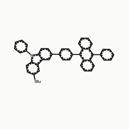 CC(C)(C)c1ccc2c(c1)c1cc(-c3ccc(-c4c5ccccc5c(-c5ccccc5)c5ccccc45)cc3)ccc1n2-c1ccccc1